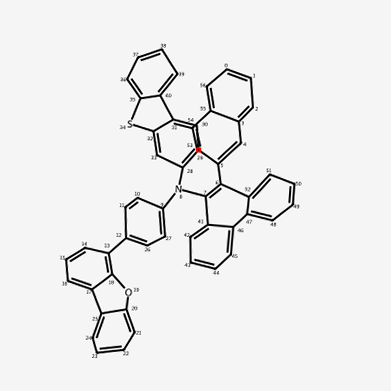 c1ccc2cc(-c3c(N(c4ccc(-c5cccc6c5oc5ccccc56)cc4)c4ccc5c(c4)sc4ccccc45)c4ccccc4c4ccccc34)ccc2c1